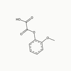 COc1ccccc1OC(=O)C(=O)O